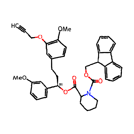 C#CCOc1cc(CC[C@@H](OC(=O)C2CCCCN2C(=O)OCC2c3ccccc3-c3ccccc32)c2cccc(OC)c2)ccc1OC